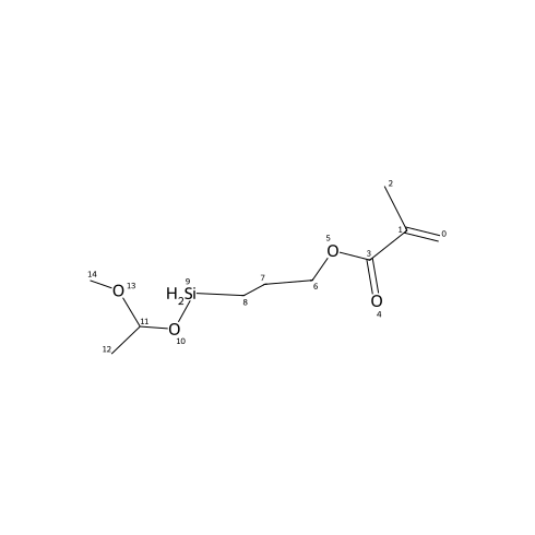 C=C(C)C(=O)OCCC[SiH2]OC(C)OC